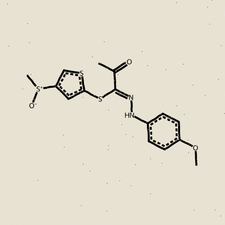 COc1ccc(NN=C(Sc2cc([S+](C)[O-])cs2)C(C)=O)cc1